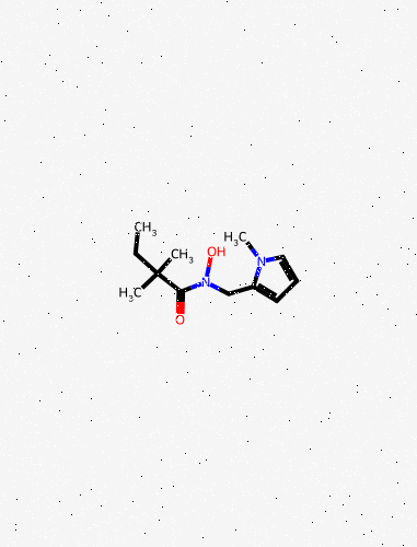 CCC(C)(C)C(=O)N(O)Cc1cccn1C